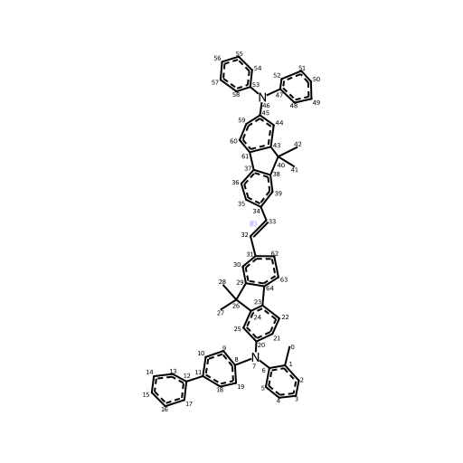 Cc1ccccc1N(c1ccc(-c2ccccc2)cc1)c1ccc2c(c1)C(C)(C)c1cc(/C=C/c3ccc4c(c3)C(C)(C)c3cc(N(c5ccccc5)c5ccccc5)ccc3-4)ccc1-2